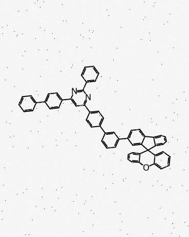 c1ccc(-c2ccc(-c3cc(-c4ccc(-c5cccc(-c6ccc7c(c6)C6(c8ccccc8Oc8ccccc86)c6ccccc6-7)c5)cc4)nc(-c4ccccc4)n3)cc2)cc1